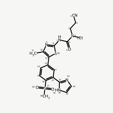 CCN(CCC#N)C(=O)Nc1nc(C)c(-c2ccc(S(C)(=O)=O)c(-c3ncc[nH]3)c2)s1